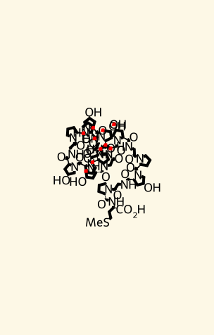 CSCC[C@H](NC(=O)[C@@H]1CCCN1C(=O)CNC(=O)[C@@H]1C[C@@H](O)CN1C(=O)[C@@H]1CCCN1C(=O)CNC(=O)[C@@H]1C[C@@H](O)CN1C(=O)[C@@H]1CCCN1C(=O)CNC(=O)[C@@H]1C[C@@H](O)CN1C(=O)[C@@H]1CCCN1C(=O)CNC(=O)[C@@H]1C[C@@H](O)CN1C(=O)[C@@H]1CCCN1C(=O)CNC(=O)[C@@H]1C[C@@H](O)CN1C(=O)[C@@H]1CCCN1C(=O)CNC(=O)[C@@H]1C[C@@H](O)CN1C(=O)[C@@H]1CCCN1)C(=O)O